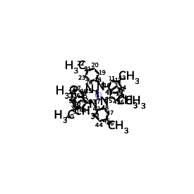 Cc1cccc(N2/C(=C3\N(c4cc(C)cc(C)c4)c4ccc(C)cc4N3c3cccc(C)c3)N(c3cc(C)cc(C)c3)c3ccc(C)cc32)c1